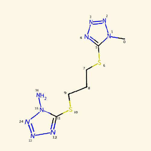 Cn1nnnc1SCCCSc1nnnn1N